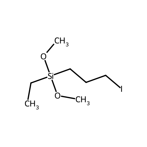 CC[Si](CCCI)(OC)OC